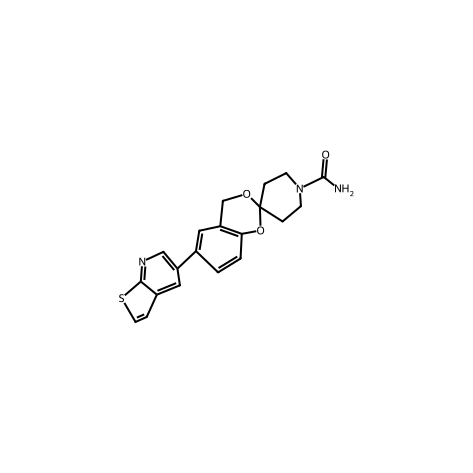 NC(=O)N1CCC2(CC1)OCc1cc(-c3cnc4sccc4c3)ccc1O2